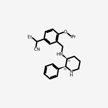 CCC(C#N)c1ccc(OC(C)C)c(CN[C@H]2CCCN[C@H]2c2ccccc2)c1